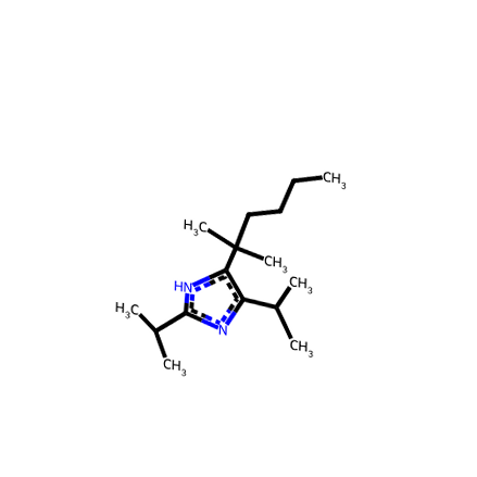 CCCCC(C)(C)c1[nH]c(C(C)C)nc1C(C)C